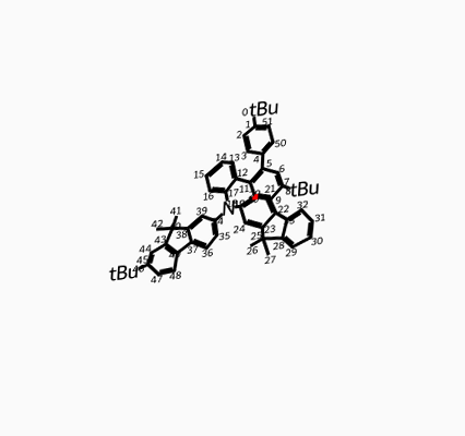 CC(C)(C)c1ccc(-c2cc(C(C)(C)C)ccc2-c2ccccc2N(c2ccc3c(c2)C(C)(C)c2ccccc2-3)c2ccc3c(c2)C(C)(C)c2cc(C(C)(C)C)ccc2-3)cc1